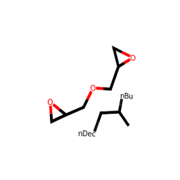 C(OCC1CO1)C1CO1.CCCCCCCCCCCC(C)CCCC